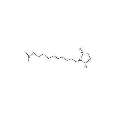 CN(C)CCCCCCCCCCN1C(=O)CCC1=O